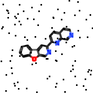 c1ccc2c(c1)oc1cnc(-c3ccc4ccncc4n3)cc12